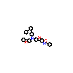 c1ccc(-c2nc3cc4c(cc3o2)oc2cc(N(c3ccc(-c5ccccc5-c5ccccc5)cc3)c3ccc5oc6ccccc6c5c3)ccc24)cc1